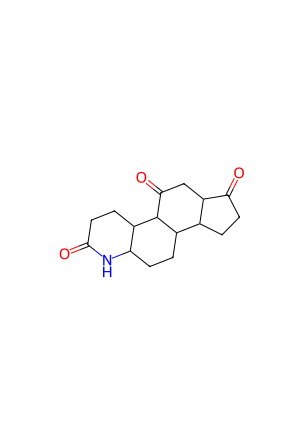 O=C1CCC2C(CCC3C4CCC(=O)C4CC(=O)C23)N1